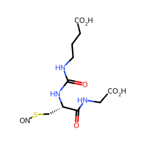 O=NSC[C@H](NC(=O)NCCCC(=O)O)C(=O)NCC(=O)O